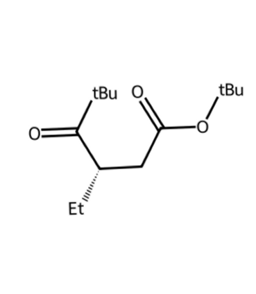 CC[C@@H](CC(=O)OC(C)(C)C)C(=O)C(C)(C)C